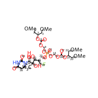 COCC(COC)OC(=O)OCOP(=O)(OCOC(=O)OC(COC)COC)OC[C@H](CF)[C@@H](O)[C@@](C)(O)[C@@H](O)n1ccc(=O)[nH]c1=O